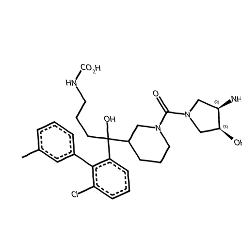 Cc1cccc(-c2c(Cl)cccc2C(O)(CCCNC(=O)O)C2CCCN(C(=O)N3C[C@@H](N)[C@@H](O)C3)C2)c1